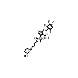 NC(=O)c1c(OCc2c(F)cc(Cl)c(F)c2F)nsc1NC(=O)NCCCCN1CCCC(O)C1